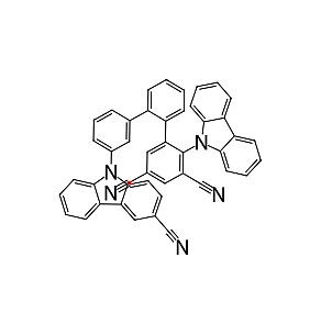 N#Cc1cc(C#N)c(-n2c3ccccc3c3ccccc32)c(-c2ccccc2-c2cccc(-n3c4ccccc4c4cc(C#N)ccc43)c2)c1